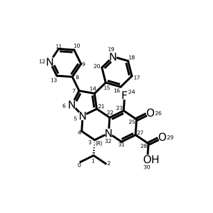 CC(C)[C@@H]1Cn2nc(-c3cccnc3)c(-c3cccnc3)c2-c2c(F)c(=O)c(C(=O)O)cn21